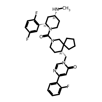 CN[C@@H]1CCN(C(=O)N2CC[C@@H](Cn3cnc(-c4ccccc4F)cc3=O)C3(CCCC3)C2)[C@H](c2cc(F)ccc2F)C1